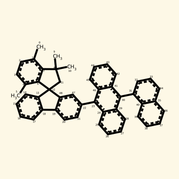 Cc1ccc(C)c2c1C(C)(C)CC21c2ccccc2-c2ccc(-c3c4ccccc4c(-c4cccc5ccccc45)c4ccccc34)cc21